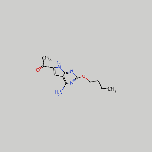 CCCCOc1nc(N)c2cc(C(C)=O)[nH]c2n1